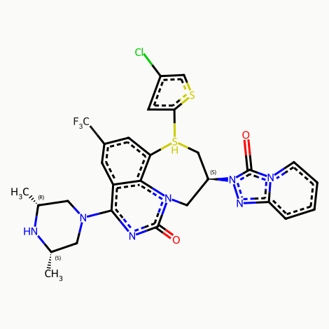 C[C@@H]1CN(c2nc(=O)n3c4c(cc(C(F)(F)F)cc24)[SH](c2cc(Cl)cs2)C[C@@H](n2nc4ccccn4c2=O)C3)C[C@H](C)N1